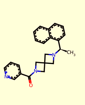 C[C@H](c1cccc2ccccc12)N1CC2(CN(C(=O)c3cccnc3)C2)C1